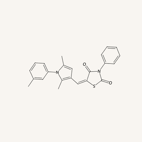 Cc1cccc(-n2c(C)cc(C=C3SC(=O)N(c4ccccc4)C3=O)c2C)c1